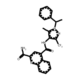 Cc1c(NC(=O)c2cc(C(N)=O)nc3ccccc23)c(C(F)(F)F)nn1C(C)c1ccccc1